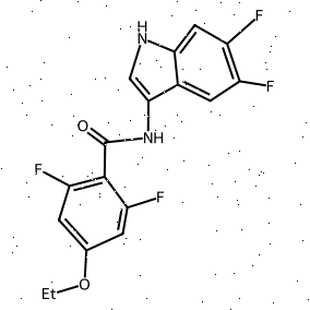 CCOc1cc(F)c(C(=O)Nc2c[nH]c3cc(F)c(F)cc23)c(F)c1